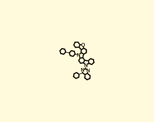 c1ccc(-c2ccc(-n3c4ccc5c(c6ccccc6n5-c5nc(-c6ccccc6)c6ccccc6n5)c4c4ccc5oc6ccccc6c5c43)cc2)cc1